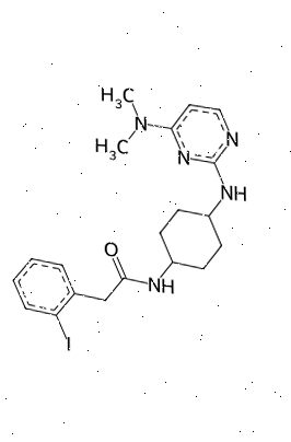 CN(C)c1ccnc(NC2CCC(NC(=O)Cc3ccccc3I)CC2)n1